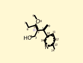 C=C(/C(CO)=C(/CC)OC)c1ccc(C)nc1